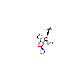 CC1(C#Cc2cc(N(CC(=O)N3CCOCC3)C(=O)C3CCCCC3)c(C(=O)O)s2)CC1